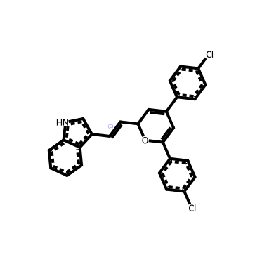 Clc1ccc(C2=CC(/C=C/c3c[nH]c4ccccc34)OC(c3ccc(Cl)cc3)=C2)cc1